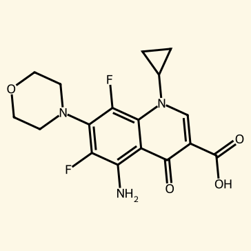 Nc1c(F)c(N2CCOCC2)c(F)c2c1c(=O)c(C(=O)O)cn2C1CC1